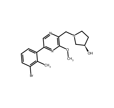 COc1nc(-c2cccc(Br)c2C)cnc1CN1CC[C@@H](O)C1